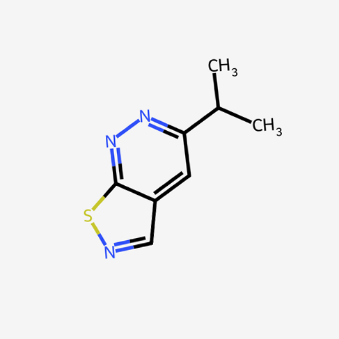 CC(C)c1cc2cnsc2nn1